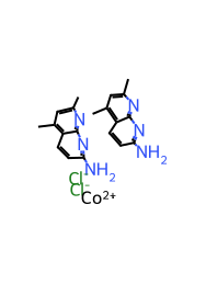 Cc1cc(C)c2ccc(N)nc2n1.Cc1cc(C)c2ccc(N)nc2n1.[Cl-].[Cl-].[Co+2]